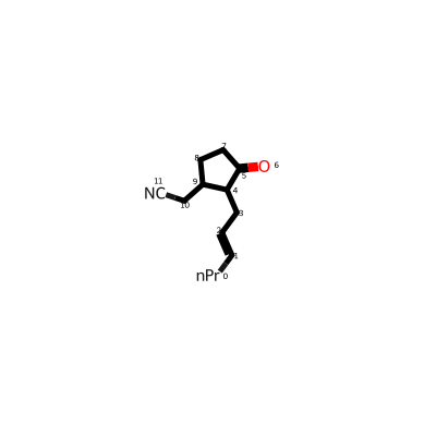 CCCC=CCC1C(=O)CCC1CC#N